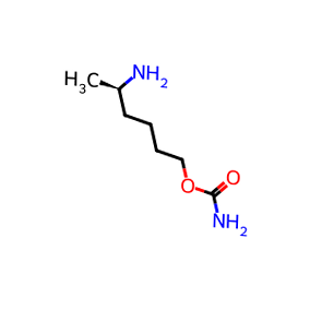 C[C@@H](N)CCCCOC(N)=O